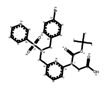 CC(C)(C)OC(=O)N(CC(=O)O)c1cccc(CN(Cc2ccc(Br)cc2)S(=O)(=O)c2cccnc2)n1